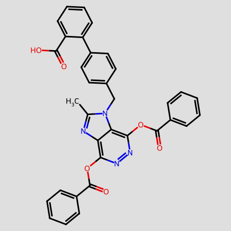 Cc1nc2c(OC(=O)c3ccccc3)nnc(OC(=O)c3ccccc3)c2n1Cc1ccc(-c2ccccc2C(=O)O)cc1